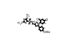 COc1ccc(C2CC(CNS(=O)(=O)c3sc(C)nc3C)=NN2c2ccc(Cl)cc2Cl)cc1